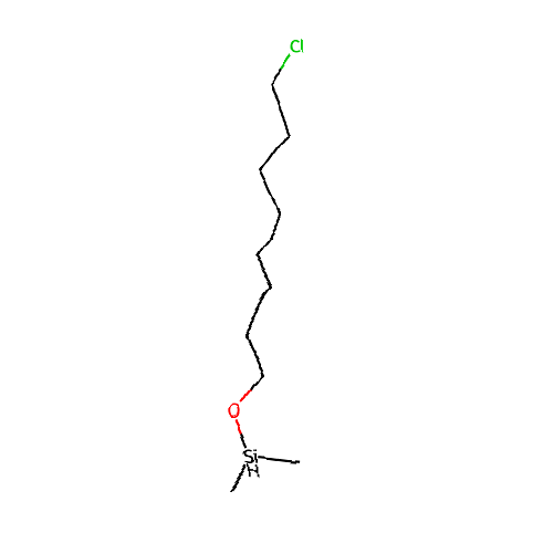 C[SiH](C)OCCCCCCCCCl